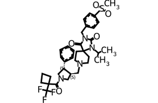 CC(C)N1C(=O)N(Cc2ccc(S(C)(=O)=O)cc2)C(=O)C12CCN(C[C@H]1CN(C(=O)C3(C(F)(F)F)CCC3)C[C@@H]1c1ccccc1)CC2